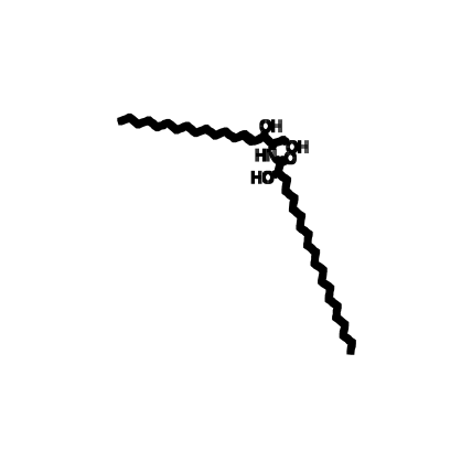 CCCCCCCCCCCCC/C=C/C(O)C(CO)NC(=O)C(O)CCCCCCCCCCCCCCCCCCCC